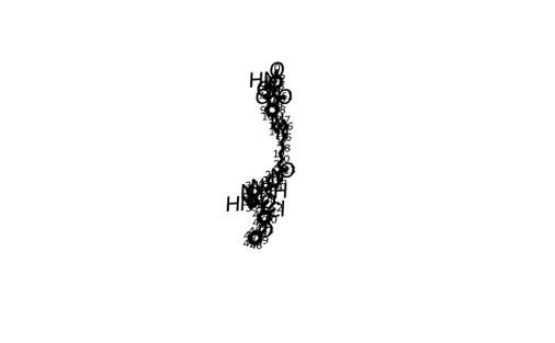 O=C1CCC(N2C(=O)c3ccc(N4CCN(CCCCCCC(=O)N5CCC(Nc6ncnc7[nH]cc(C(=O)c8ccc(Oc9ccccc9)cc8Cl)c67)CC5)CC4)cc3C2=O)C(=O)N1